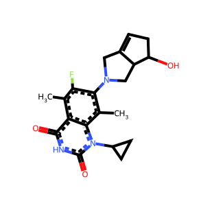 Cc1c(F)c(N2CC3=CCC(O)C3C2)c(C)c2c1c(=O)[nH]c(=O)n2C1CC1